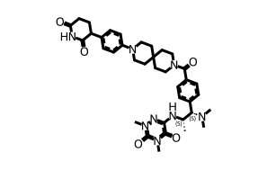 C[C@H](Nc1nn(C)c(=O)n(C)c1=O)[C@H](c1ccc(C(=O)N2CCC3(CC2)CCN(c2ccc(C4CCC(=O)NC4=O)cc2)CC3)cc1)N(C)C